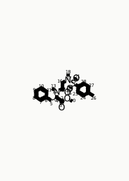 COC(=O)[C@H](Cc1ccccc1)N(C)C(=O)CN(C)S(=O)(=O)c1ccc(C)cc1